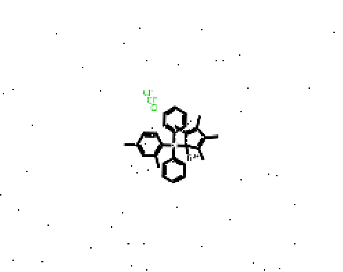 CC1=C(C)[C]([Ti+3])([Si](c2ccccc2)(c2ccccc2)c2ccc(C)cc2C)C(C)=C1C.[Cl-].[Cl-].[Cl-]